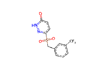 O=c1ccc(S(=O)(=O)Cc2cccc(C(F)(F)F)c2)n[nH]1